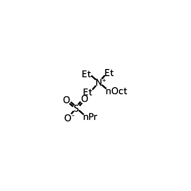 CCCCCCCC[N+](CC)(CC)CC.CCCS(=O)(=O)[O-]